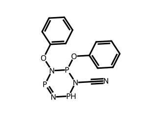 N#Cn1[pH]npn(Oc2ccccc2)p1Oc1ccccc1